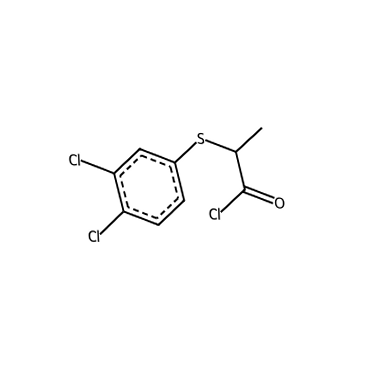 CC(Sc1ccc(Cl)c(Cl)c1)C(=O)Cl